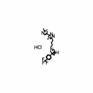 Cc1ncc(-c2nnc(CCCCN3C[C@@H]4C[C@]4(c4ccc(C(F)(F)F)cc4)C3)n2C)s1.Cl